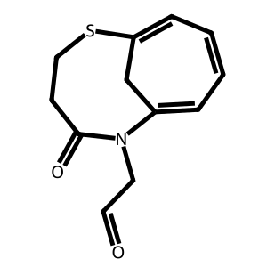 O=CCN1C(=O)CCSC2=CC=CC=C1C2